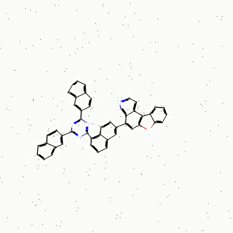 c1ccc2cc(-c3nc(-c4ccc5ccccc5c4)nc(-c4cccc5cc(-c6cc7oc8ccccc8c7c7ccncc67)ccc45)n3)ccc2c1